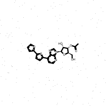 CC(=O)O[C@H]1[C@@H](O)[C@H](n2cnc3c(-c4ccc(-c5cccs5)s4)ccnc32)O[C@@H]1CO